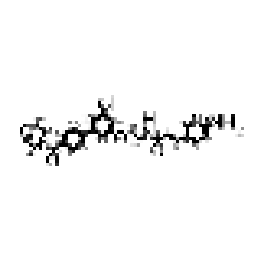 Nc1ccc(/C=C/C(=O)NCCOc2cc(Cl)cc(-c3ccc(C(=O)N4CCOCC4)cc3)c2)cn1